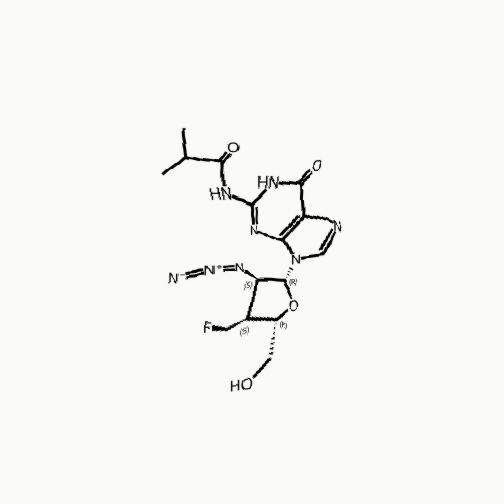 CC(C)C(=O)Nc1nc2c(ncn2[C@@H]2O[C@H](CO)[C@@H](F)[C@H]2N=[N+]=[N-])c(=O)[nH]1